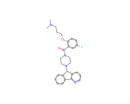 CN(C)CCCOc1ccc(F)cc1C(=O)N1CCN(C2c3ccccc3-c3ncccc32)CC1